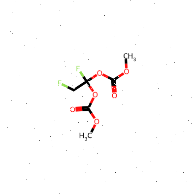 COC(=O)OC(F)(CF)OC(=O)OC